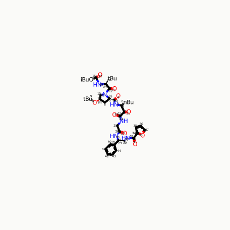 CCCCC(NC(=O)[C@@H]1C[C@@H](OC(C)(C)C)CN1C(=O)[C@@H](NC(=O)OCC(C)C)C(C)(C)C)C(=O)C(=O)NCC(=O)N[C@@H](CNC(=O)c1ccco1)c1ccccc1